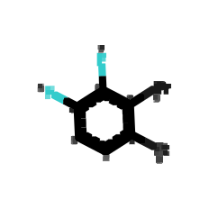 CCc1ccc(F)c(F)c1C(C)C